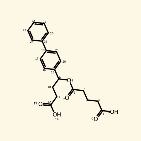 O=C(O)CCCC(=O)OC(CCC(=O)O)c1ccc(-c2ccccc2)cc1